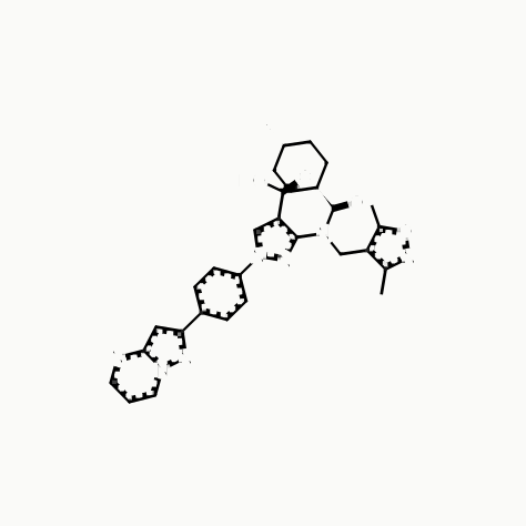 Cc1noc(C)c1CN(c1nn(-c2ccc(-c3cc4ncccn4n3)cc2)cc1C(=O)O)C(=O)[C@H]1CC[C@H](C)CC1